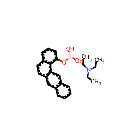 CCN(CC)CC.OB(O)Oc1cccc2ccc3cc4ccccc4cc3c12